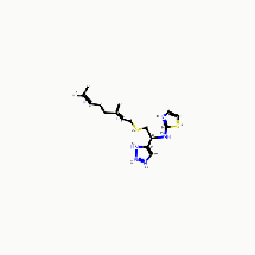 CC/C(C)=C/CC/C(C)=C/CSCC(Nc1nccs1)c1cnn[nH]1